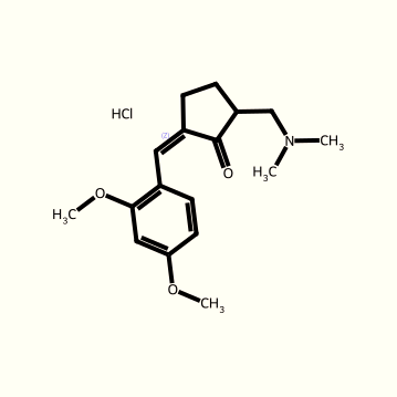 COc1ccc(/C=C2/CCC(CN(C)C)C2=O)c(OC)c1.Cl